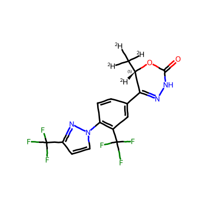 [2H]C([2H])([2H])[C@]1([2H])OC(=O)NN=C1c1ccc(-n2ccc(C(F)(F)F)n2)c(C(F)(F)F)c1